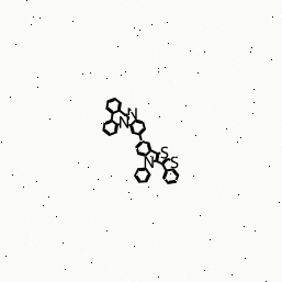 c1ccc(-n2c3ccc(-c4ccc5nc6c7ccccc7c7ccccc7n6c5c4)cc3c3sc4sc5ccccc5c4c32)cc1